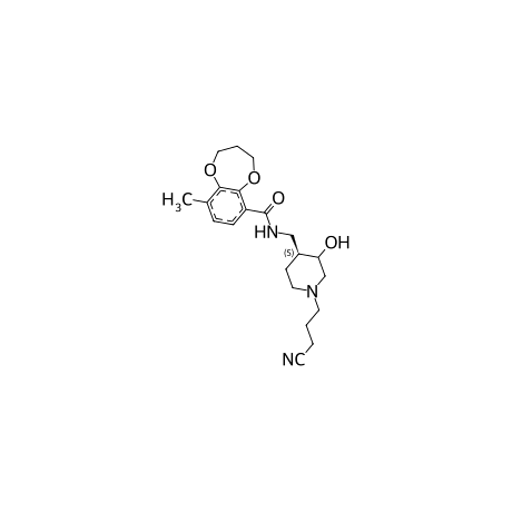 Cc1ccc(C(=O)NC[C@@H]2CCN(CCCC#N)CC2O)c2c1OCCCO2